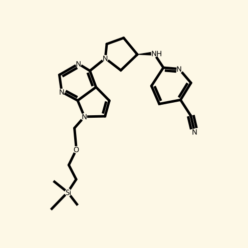 C[Si](C)(C)CCOCn1ccc2c(N3CC[C@@H](Nc4ccc(C#N)cn4)C3)ncnc21